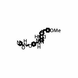 COc1ccc(CN2CCC(Nc3c(Cl)cnc4[nH]c(-c5ccc(OCCNC(=O)c6ccncc6)cc5)nc34)CC2)cc1